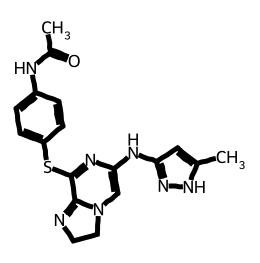 CC(=O)Nc1ccc(SC2=NC(Nc3cc(C)[nH]n3)=CN3CCN=C23)cc1